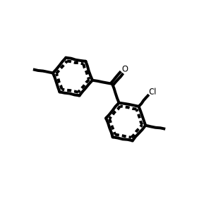 Cc1ccc(C(=O)c2cccc(C)c2Cl)cc1